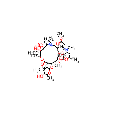 CCOC(=O)CCN(C)[C@H]1C[C@@H](C)O[C@@H](O[C@@H]2[C@@H](C)[C@H](O[C@H]3C[C@H](C)[C@@H](O)[C@H](C)O3)[C@@H](C)C(=O)O[C@H](CC)[C@@](C)(O)[C@H](O)[C@@H](C)N(C)C[C@H](C)C[C@@]2(C)O)[C@@H]1O